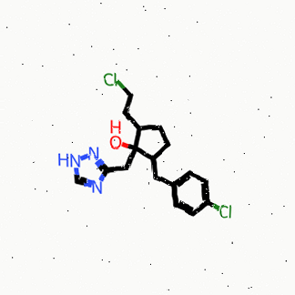 OC1(Cc2nc[nH]n2)C(CCCl)CCC1Cc1ccc(Cl)cc1